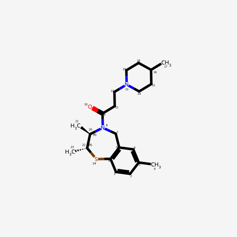 Cc1ccc2c(c1)CN(C(=O)CCN1CCC(C)CC1)[C@H](C)[C@@H](C)S2